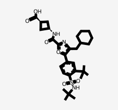 CC(C)(C)NS(=O)(=O)c1ccc(-c2oc(C(=O)N[C@H]3C[C@H](C(=O)O)C3)nc2CC2CCCCC2)cc1C(C)(C)C